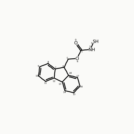 O=C(NS)OCC1c2ccccc2-c2ccccc21